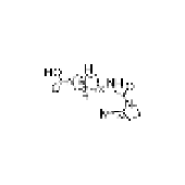 N#C[C@@H]1CCCN1C(=O)CN[C@@H]1C[C@@H]2CN(C(=O)O)C[C@@H]2C1